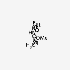 CCn1c(CC2CC2)nc2c(Nc3ccc(-n4cnc(C)c4)c(OC)c3)cccc21